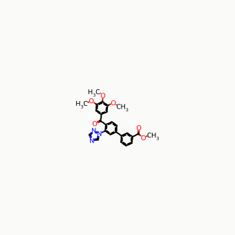 COC(=O)c1cccc(-c2ccc(C(=O)c3cc(OC)c(OC)c(OC)c3)c(-n3cncn3)c2)c1